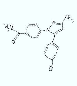 NC(=O)c1ccc(-n2nc(C(F)(F)F)cc2-c2ccc(Cl)cc2)cc1